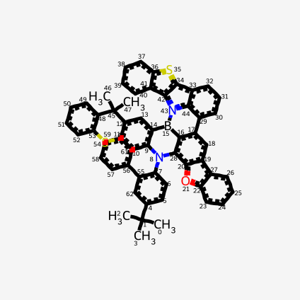 CC(C)(C)c1ccc(N2c3cc4c(cc3B3c5c(cc6c(oc7ccccc76)c52)-c2cccc5c6sc7ccccc7c6n3c25)C(C)(C)c2ccccc2S4)c(-c2ccccc2)c1